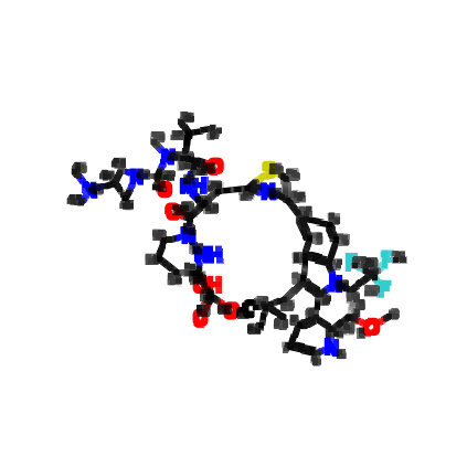 CO[C@@H](C)c1ncccc1-c1c2c3cc(ccc3n1CC(F)(F)F)-c1csc(n1)C[C@H](NC(=O)[C@H](C(C)C)N(C)C(=O)N1CC(N(C)C)C1)C(=O)N1CCC[C@@](O)(N1)C(=O)OCC(C)(C)C2